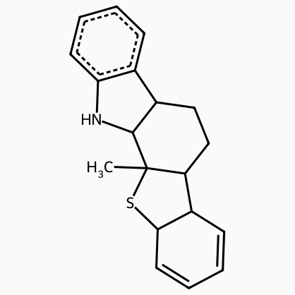 CC12SC3C=CC=CC3C1CCC1c3ccccc3NC12